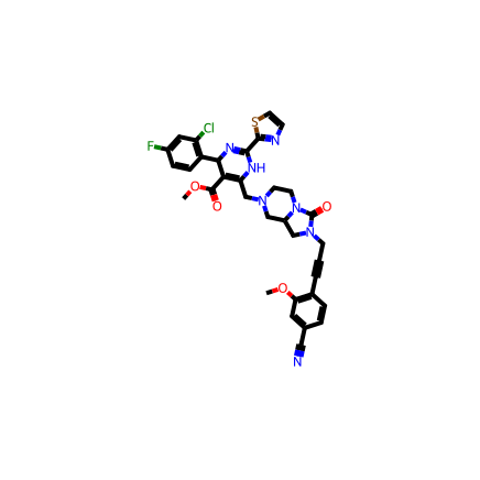 COC(=O)C1=C(CN2CCN3C(=O)N(CC#Cc4ccc(C#N)cc4OC)CC3C2)NC(c2nccs2)=NC1c1ccc(F)cc1Cl